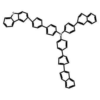 c1ccc2cc(-c3ccc(-c4ccc(N(c5ccc(-c6ccc(-c7ccc8sc9ccccc9c8c7)cc6)cc5)c5ccc(-c6ccc7ccccc7c6)cc5)cc4)cc3)ccc2c1